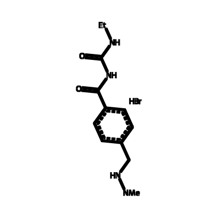 Br.CCNC(=O)NC(=O)c1ccc(CNNC)cc1